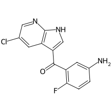 Nc1ccc(F)c(C(=O)c2c[nH]c3ncc(Cl)cc23)c1